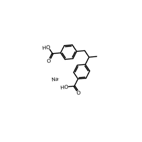 CC(Cc1ccc(C(=O)O)cc1)c1ccc(C(=O)O)cc1.[Na]